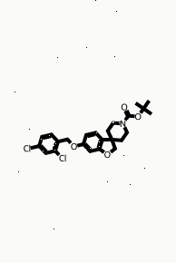 CC(C)(C)OC(=O)N1CCC2(CC1)COc1cc(OCc3ccc(Cl)cc3Cl)ccc12